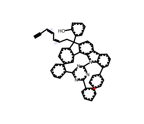 C#C/C=C\C=C/CC1(c2ccccc2O)c2ccccc2-c2c1ccc1c3cccc(-c4ccccc4)c3n(-c3nc(-c4ccccc4)nc(-c4ccccc4)n3)c21